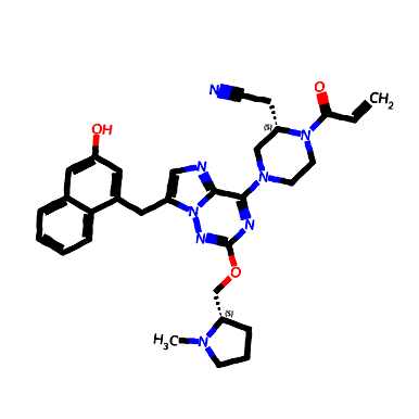 C=CC(=O)N1CCN(c2nc(OC[C@@H]3CCCN3C)nn3c(Cc4cc(O)cc5ccccc45)cnc23)C[C@@H]1CC#N